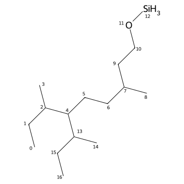 CCC(C)C(CCC(C)CCO[SiH3])C(C)CC